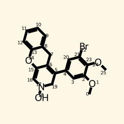 COc1cc(C2=C3Cc4ccccc4OC3=CN(O)C2)cc(Br)c1OC